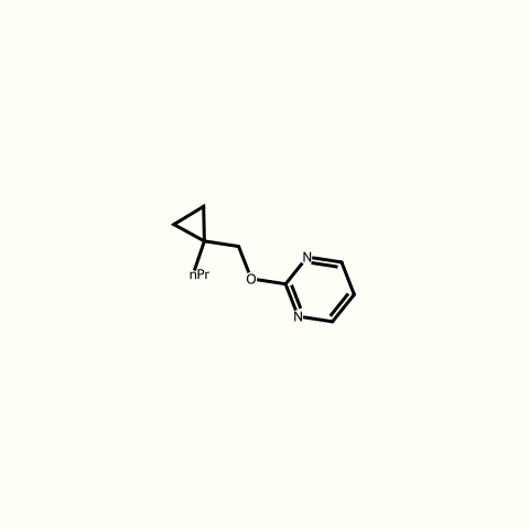 CCCC1(COc2ncccn2)CC1